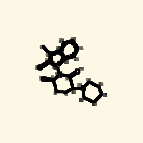 Cn1c(=O)n(N2C(=O)CCC(N3CCCCC3)C2=O)c2ccccc21